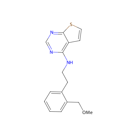 COCc1ccccc1CCNc1ncnc2sccc12